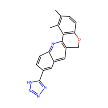 Cc1ccc2c(c1C)-c1nc3ccc(-c4nnn[nH]4)cc3cc1CO2